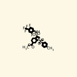 COC(=O)C1CCc2c(S(=O)(=O)Nc3cc(F)c(C(F)(F)F)cc3F)cn(S(=O)(=O)c3ccc(C)cc3)c2C1